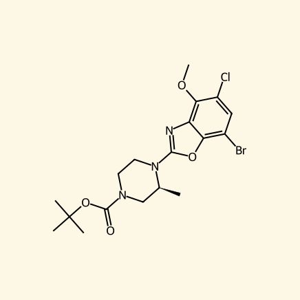 COc1c(Cl)cc(Br)c2oc(N3CCN(C(=O)OC(C)(C)C)C[C@@H]3C)nc12